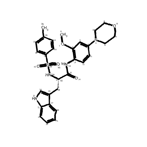 COc1cc(N2CCOCC2)ccc1NC(=O)[C@H](Cc1c[nH]c2ccccc12)NS(=O)(=O)c1ccc(C)cc1